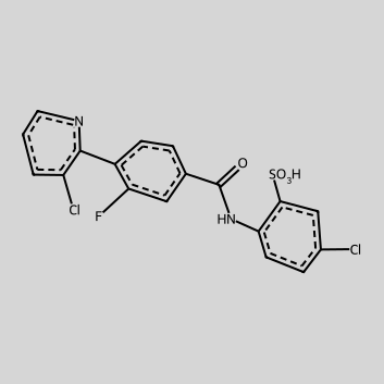 O=C(Nc1ccc(Cl)cc1S(=O)(=O)O)c1ccc(-c2ncccc2Cl)c(F)c1